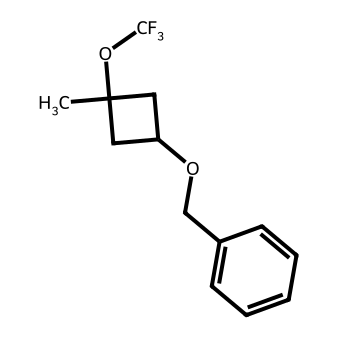 CC1(OC(F)(F)F)CC(OCc2ccccc2)C1